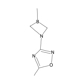 CB1CN(c2noc(C)n2)C1